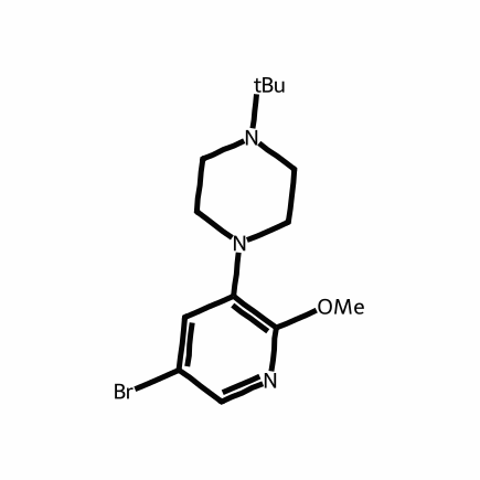 COc1ncc(Br)cc1N1CCN(C(C)(C)C)CC1